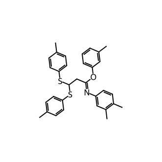 Cc1ccc(SC(CC(=Nc2ccc(C)c(C)c2)Oc2cccc(C)c2)Sc2ccc(C)cc2)cc1